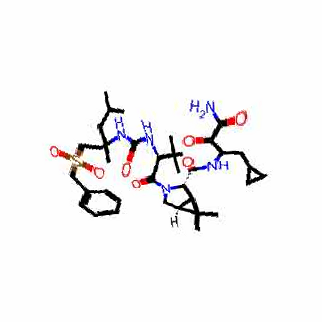 CC(C)CC(C)(CS(=O)(=O)Cc1ccccc1)NC(=O)N[C@H](C(=O)N1C[C@H]2C([C@H]1C(=O)NC(CC1CC1)C(=O)C(N)=O)C2(C)C)C(C)(C)C